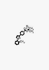 Cc1ccccc1-n1ccc(C2CCN(C(=O)OC(C)(C)C)CC2)n1